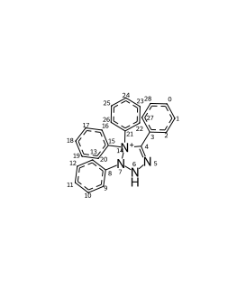 c1ccc(C2=NNN(c3ccccc3)[N+]2(c2ccccc2)c2ccccc2)cc1